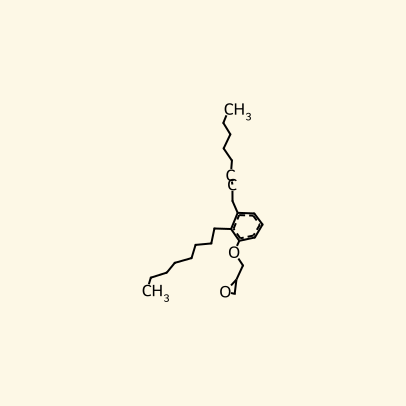 CCCCCCCCc1cccc(OCC2CO2)c1CCCCCCCC